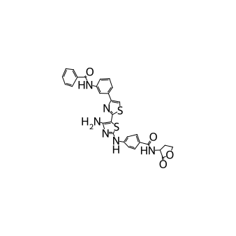 Nc1nc(Nc2ccc(C(=O)NC3CCOC3=O)cc2)sc1-c1nc(-c2cccc(NC(=O)c3ccccc3)c2)cs1